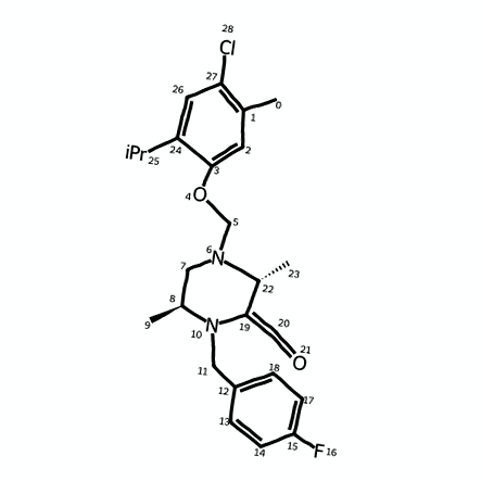 Cc1cc(OCN2C[C@H](C)N(Cc3ccc(F)cc3)C(=C=O)[C@H]2C)c(C(C)C)cc1Cl